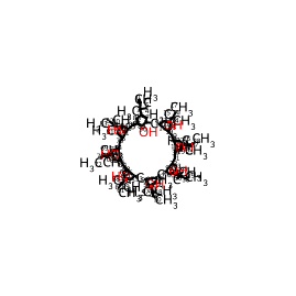 C#CC(C)(CC)C1=CC2CC3C=C(C(C)(C)CC)C=C(CC4=CC(C(C)(C)CC)=CC(CC5=CC(C(C)(C)CC)=CC(CC6C=C(C(C)(C)CC)C=C(CC7C=C(C(C)(C)CC)C=C(CC8C=C(C(C)(C)CC)C=C(CC9=CC(C(C)(C)CC)=CC(CC(=C1)C2O)C9O)C8O)C7O)C6O)C5O)C4O)C3O